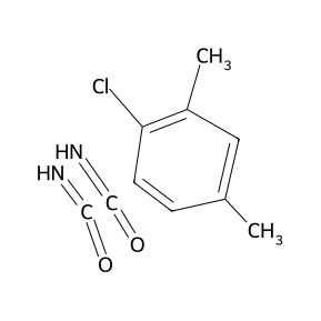 Cc1ccc(Cl)c(C)c1.N=C=O.N=C=O